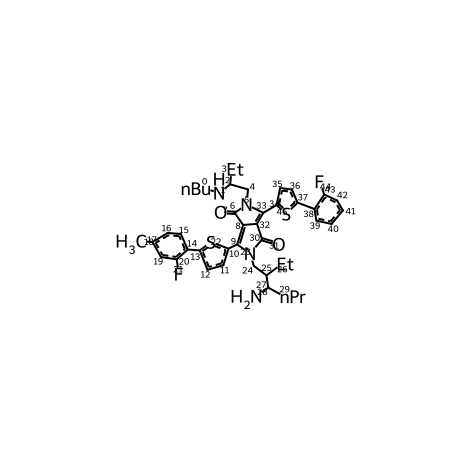 CCCCNC(CC)CN1C(=O)C2=C(c3ccc(-c4ccc(C)cc4F)s3)N(CC(CC)C(N)CCC)C(=O)C2=C1c1ccc(-c2ccccc2F)s1